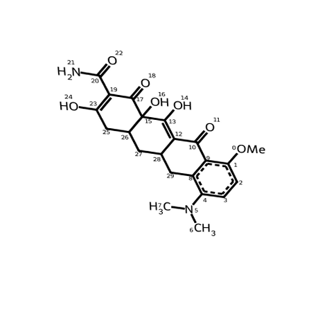 COc1ccc(N(C)C)c2c1C(=O)C1=C(O)C3(O)C(=O)C(C(N)=O)=C(O)CC3CC1C2